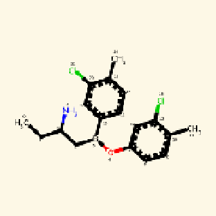 CCC(N)CB(Oc1ccc(C)c(Cl)c1)c1ccc(C)c(Cl)c1